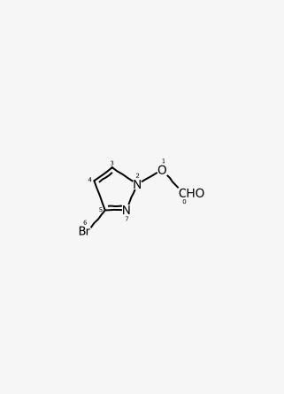 O=COn1ccc(Br)n1